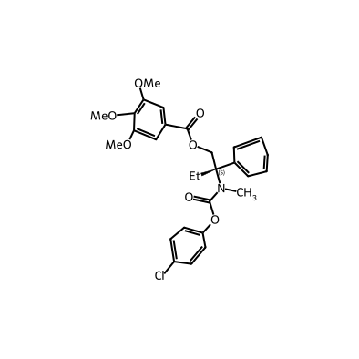 CC[C@@](COC(=O)c1cc(OC)c(OC)c(OC)c1)(c1ccccc1)N(C)C(=O)Oc1ccc(Cl)cc1